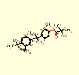 CCC(C)(C)C(=O)Oc1ccc(C(C)(C)c2ccc(C(C)(CC)OC)c(C)c2)cc1C